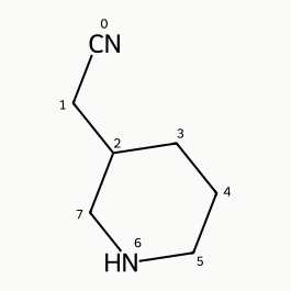 N#CCC1CCCNC1